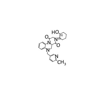 Cc1ccc(CN2CC3C(=O)N([C@H]4CCCC[C@@H]4O)CC(=O)N3c3ccccc32)cn1